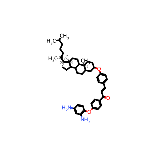 CC(C)CCC[C@@H](C)[C@H]1CCC2C3CCC4CC(Oc5ccc(C=CC(=O)c6ccc(Oc7ccc(N)cc7N)cc6)cc5)CC[C@]4(C)C3CC[C@@]21C